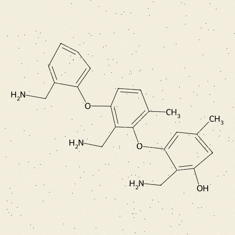 Cc1cc(O)c(CN)c(Oc2c(C)ccc(Oc3ccccc3CN)c2CN)c1